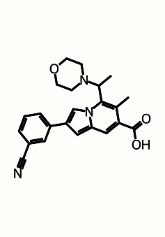 Cc1c(C(=O)O)cc2cc(-c3cccc(C#N)c3)cn2c1C(C)N1CCOCC1